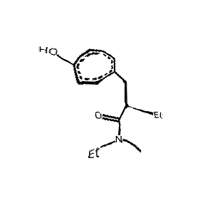 CC[C@H](Cc1ccc(O)cc1)C(=O)N(C)CC